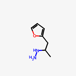 CC(Cc1ccco1)NN